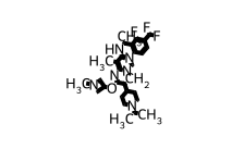 C=C(/C(=N\c1ncnc(N[C@H](C)c2cccc(C(F)F)c2F)c1C)OC1CN(C)C1)C1CCN(C(C)C)CC1